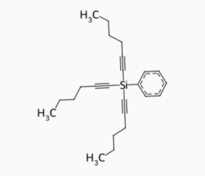 CCCCC#C[Si](C#CCCCC)(C#CCCCC)c1ccccc1